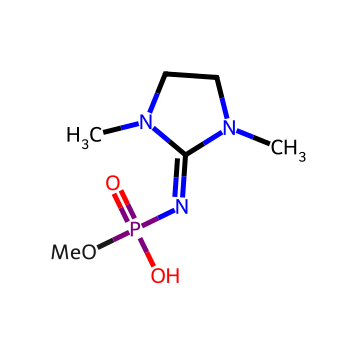 COP(=O)(O)N=C1N(C)CCN1C